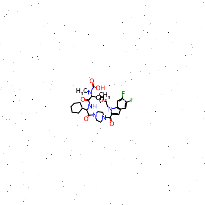 COCCn1c(C(=O)N2CCN(C(=O)C(NC(=O)C(C)N(C)C(=O)O)C3CCCCC3)CC2)cc2cc(F)c(F)cc21